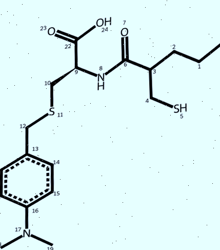 CCCC(CS)C(=O)N[C@@H](CSCc1ccc(N(C)C)cc1)C(=O)O